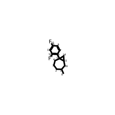 CC1CCCC2(c3ccc(F)cc3F)CC2C1